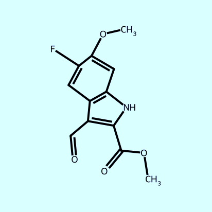 COC(=O)c1[nH]c2cc(OC)c(F)cc2c1C=O